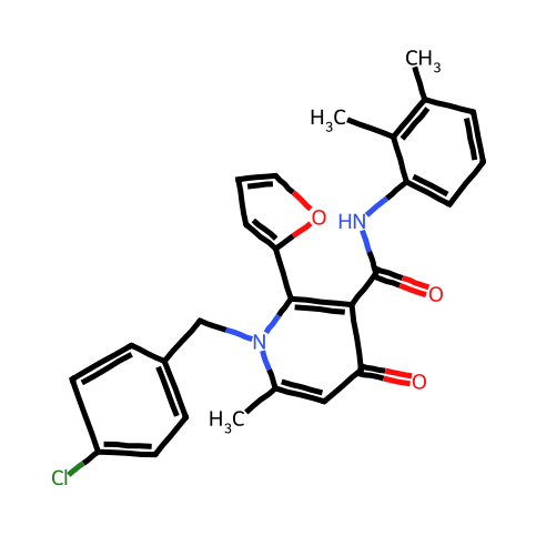 Cc1cccc(NC(=O)c2c(-c3ccco3)n(Cc3ccc(Cl)cc3)c(C)cc2=O)c1C